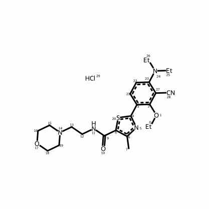 CCOc1c(-c2nc(C)c(C(=O)NCCN3CCOCC3)s2)ccc(N(CC)CC)c1C#N.Cl